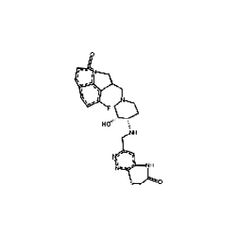 O=C1CSc2nnc(CN[C@H]3CCN(CC4Cn5c(=O)ccc6ccc(F)c4c65)C[C@H]3O)cc2N1